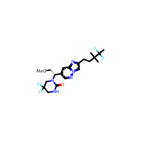 COC[C@H](c1cnn2cc(CCC(C)(C)C(C)(F)F)nc2c1)N1CC(F)(F)CNC1=O